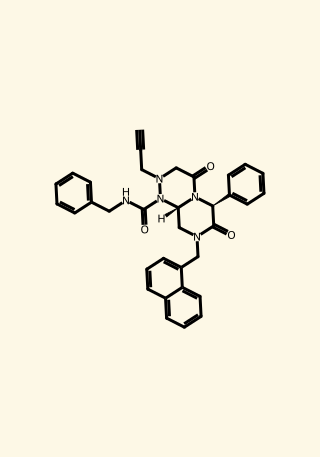 C#CCN1CC(=O)N2[C@@H](c3ccccc3)C(=O)N(Cc3cccc4ccccc34)C[C@@H]2N1C(=O)NCc1ccccc1